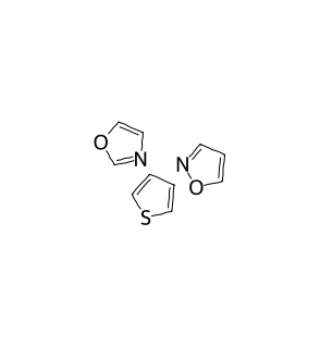 c1ccsc1.c1cnoc1.c1cocn1